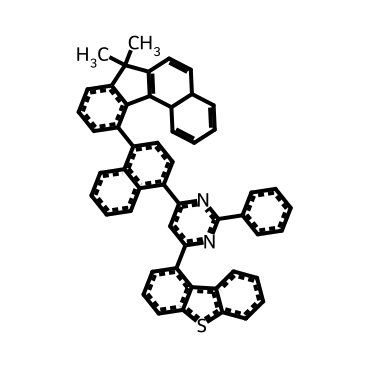 CC1(C)C2=C(c3c(-c4ccc(-c5cc(-c6cccc7sc8ccccc8c67)nc(-c6ccccc6)n5)c5ccccc45)cccc31)C1C=CC=CC1C=C2